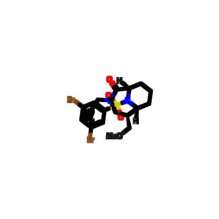 C#CCN1C[C@H](COC)[C@H]2CCC[C@@H](C1=O)N2S(=O)(=O)c1cc(Br)cc(Br)c1